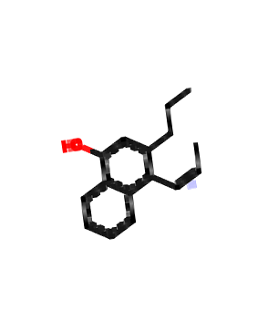 C/C=C\c1c(CCC)cc(O)c2ccccc12